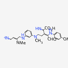 CN/C(=C\C=N)CNc1cccc(N(C)CC/C(C(=N)C(=O)O)=C(\C=O)Nc2ccc(OC)cc2)c1